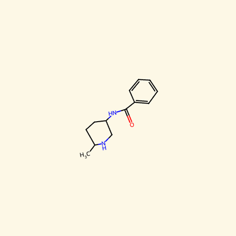 CC1CCC(NC(=O)c2ccccc2)CN1